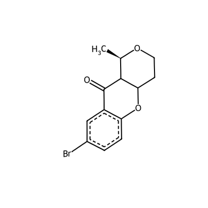 C[C@H]1OCCC2Oc3ccc(Br)cc3C(=O)C21